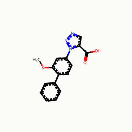 COc1cc(-n2nncc2C(=O)O)ccc1-c1ccccc1